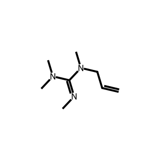 C=CCN(C)C(=NC)N(C)C